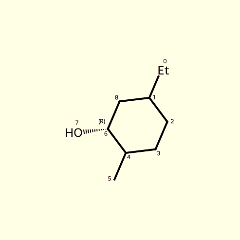 CCC1CCC(C)[C@H](O)C1